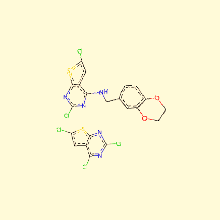 Clc1nc(Cl)c2cc(Cl)sc2n1.Clc1nc(NCc2ccc3c(c2)OCCO3)c2cc(Cl)sc2n1